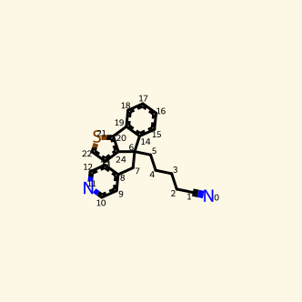 N#CCCCCC1(Cc2ccncc2)c2ccccc2-c2sccc21